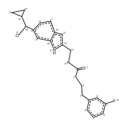 O=C(CCCc1cccc(F)c1)[N]Cc1nc2ccc(C(Cl)C3CC3)cc2[nH]1